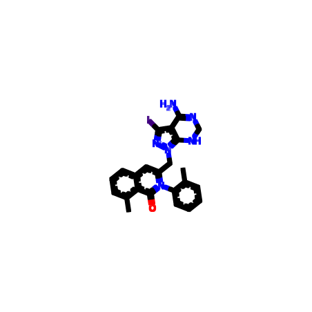 Cc1ccccc1-n1c(Cn2nc(I)c3c2NCN=C3N)cc2cccc(C)c2c1=O